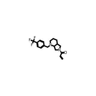 C=CC(=O)N1CC2CCCN(Cc3ccc(C(F)(F)F)cc3)C2C1